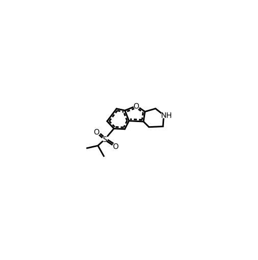 CC(C)S(=O)(=O)c1ccc2oc3c(c2c1)CCNC3